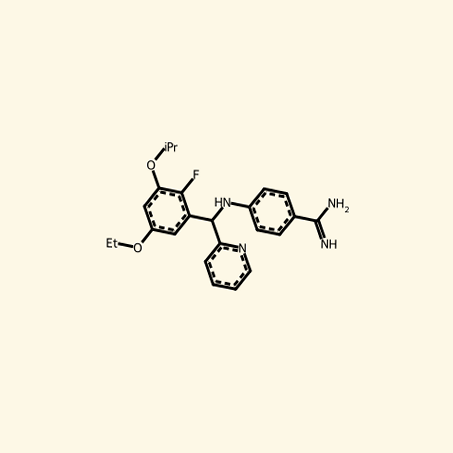 CCOc1cc(OC(C)C)c(F)c(C(Nc2ccc(C(=N)N)cc2)c2ccccn2)c1